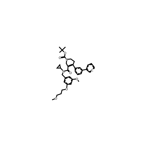 COCCCOc1cc(CN(C(=O)C2=C(c3cccc(-c4ccccc4)c3)CCN(C(=O)OC(C)(C)C)C2)C2CC2)cc(OC)c1